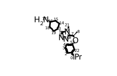 CC(C)c1cccc(O[C@H](C)c2nnc([C@H]3CC[C@H](N)CC3)n2C)c1